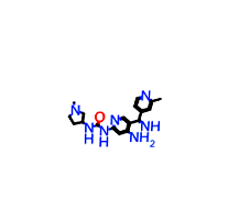 Cc1cc(C(=N)c2cnc(NC(=O)NC3CCN(C)C3)cc2N)ccn1